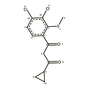 CSc1c(C(=O)CC(=O)C2CC2)ccc(Cl)c1Cl